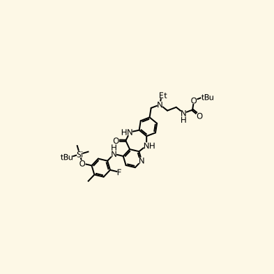 CCN(CCNC(=O)OC(C)(C)C)Cc1ccc2c(c1)NC(=O)c1c(Nc3cc(O[Si](C)(C)C(C)(C)C)c(C)cc3F)ccnc1N2